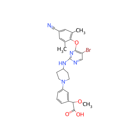 COC(C(=O)O)c1cccc(N2CCC(Nc3ncc(Br)c(Oc4c(C)cc(C#N)cc4C)n3)CC2)c1